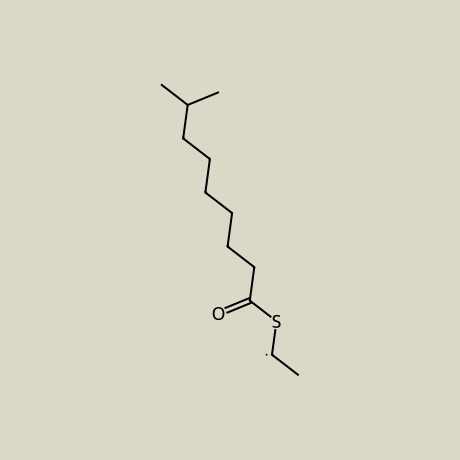 C[CH]SC(=O)CCCCCCC(C)C